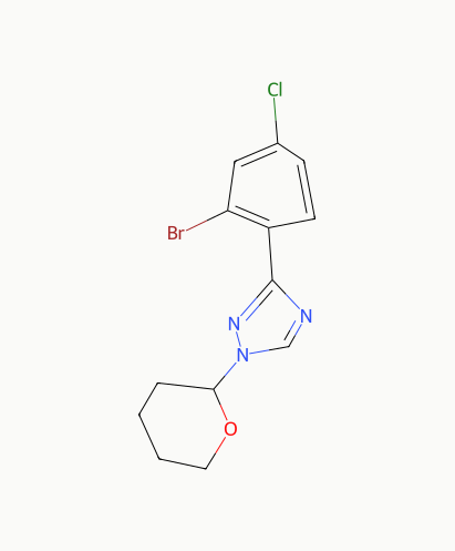 Clc1ccc(-c2ncn(C3CCCCO3)n2)c(Br)c1